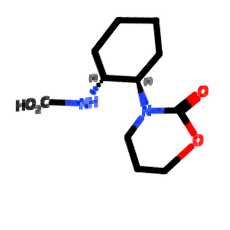 O=C(O)N[C@@H]1CCCC[C@H]1N1CCCOC1=O